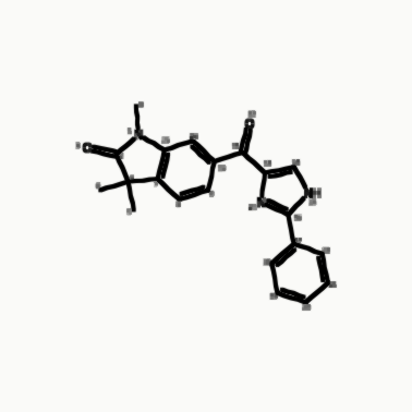 CN1C(=O)C(C)(C)c2ccc(C(=O)c3c[nH]c(-c4ccccc4)n3)cc21